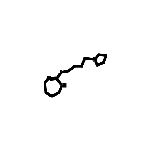 C1CCNC(SCCCCN2CCCC2)=NC1